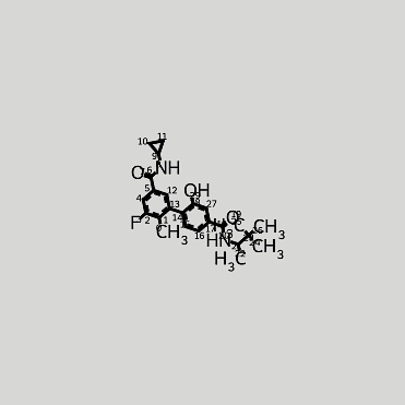 Cc1c(F)cc(C(=O)NC2CC2)cc1-c1ccc(C(=O)NC(C)C(C)(C)C)cc1O